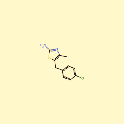 Cc1nc(N)sc1Cc1ccc(Cl)cc1